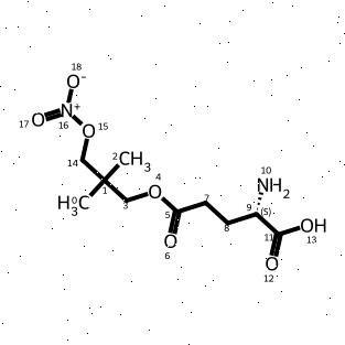 CC(C)(COC(=O)CC[C@H](N)C(=O)O)CO[N+](=O)[O-]